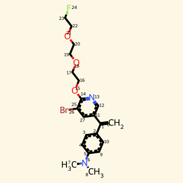 C=C(c1ccc(N(C)C)cc1)c1cnc(OCCOCCOCCF)c(Br)c1